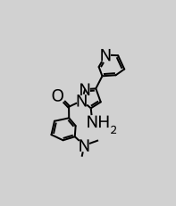 CN(C)c1cccc(C(=O)n2nc(-c3cccnc3)cc2N)c1